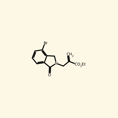 C=C(CN1Cc2c(Br)cccc2C1=O)C(=O)OCC